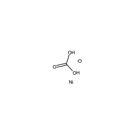 O=C(O)O.[Ni].[O]